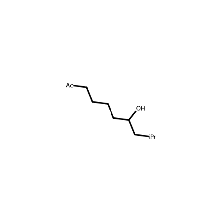 CC(=O)CCCCC(O)CC(C)C